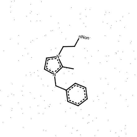 CCCCCCCCCCC[n+]1ccn(Cc2ccccc2)c1C